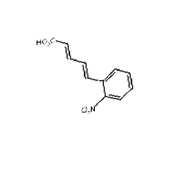 O=C(O)/C=C/C=C/c1ccccc1[N+](=O)[O-]